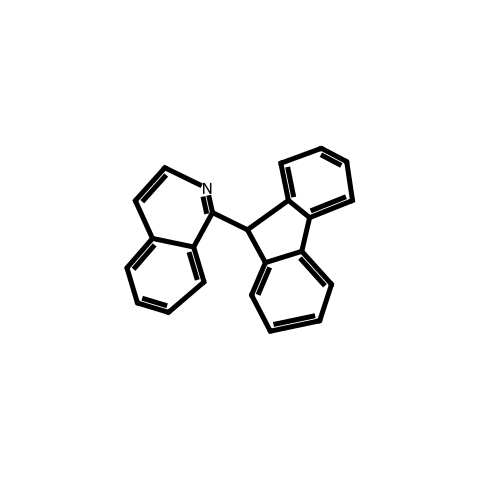 c1ccc2c(c1)-c1ccccc1C2c1nccc2ccccc12